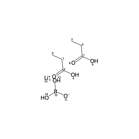 CCC(=O)O.CCC(=O)O.[Li+].[O-]B(O)O